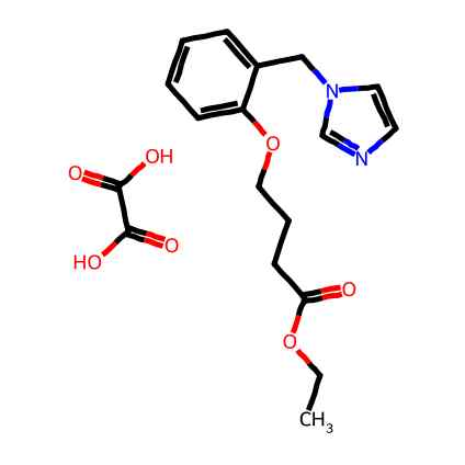 CCOC(=O)CCCOc1ccccc1Cn1ccnc1.O=C(O)C(=O)O